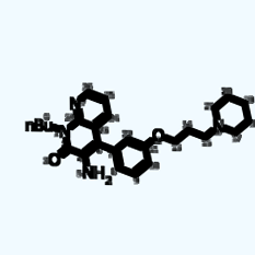 CCCCn1c(=O)c(N)c(-c2cccc(OCCCN3CCCCC3)c2)c2cccnc21